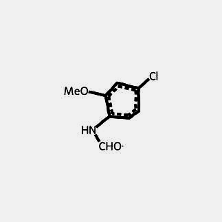 COc1cc(Cl)ccc1N[C]=O